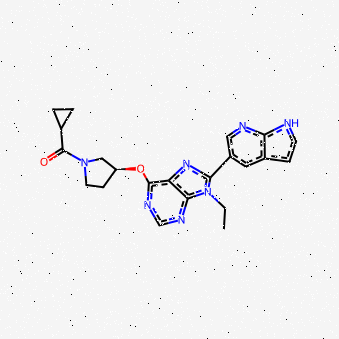 CCn1c(-c2cnc3[nH]ccc3c2)nc2c(O[C@H]3CCN(C(=O)C4CC4)C3)ncnc21